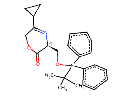 CC(C)(C)[Si](OC[C@@H]1N=C(C2CC2)COC1=O)(c1ccccc1)c1ccccc1